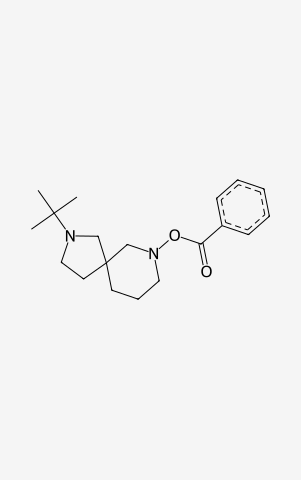 CC(C)(C)N1CCC2(CCCN(OC(=O)c3ccccc3)C2)C1